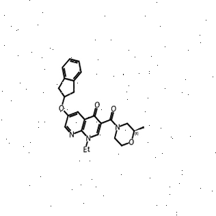 CCn1cc(C(=O)N2CCO[C@H](C)C2)c(=O)c2cc(OC3Cc4ccccc4C3)cnc21